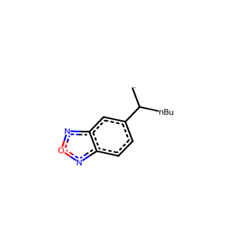 [CH2]C(CCCC)c1ccc2nonc2c1